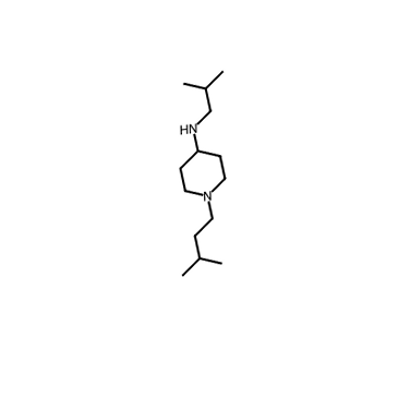 CC(C)CCN1CCC(NCC(C)C)CC1